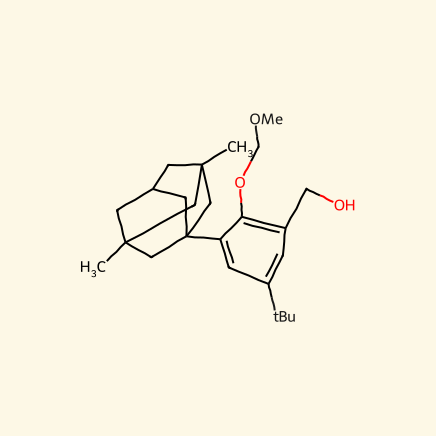 COCOc1c(CO)cc(C(C)(C)C)cc1C12CC3CC(C)(CC(C)(C3)C1)C2